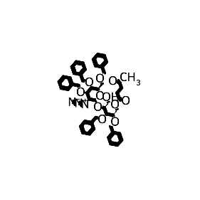 CC(=O)CCC(=O)OC[C@H](OCc1ccccc1)[C@H](OCc1ccccc1)[C@@H](CO)O[C@H]1O[C@H](COCc2ccccc2)[C@@H](OCc2ccccc2)[C@H](OCc2ccccc2)[C@H]1N=[N+]=[N-]